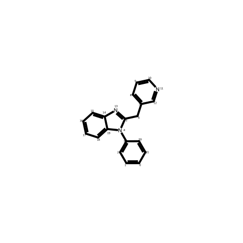 c1ccc(-n2c(Cc3cccnc3)nc3ccccc32)cc1